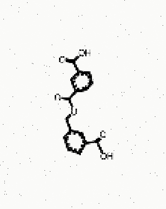 [O]C(OCc1cccc(C(=O)O)c1)c1cccc(C(=O)O)c1